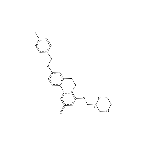 Cc1ccc(COc2ccc3c(c2)CCn2c(OC[C@@H]4COCCO4)cc(=O)c(C)c2-3)cn1